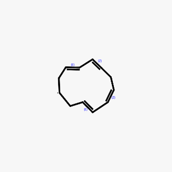 [CH]1C/C=C/C=C\C/C=C\C=C\C1